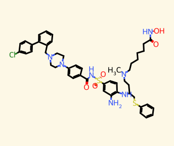 CN(CCCCCCC(=O)NO)CCC(CSc1ccccc1)Nc1ccc(S(=O)(=O)NC(=O)c2ccc(N3CCN(Cc4ccccc4-c4ccc(Cl)cc4)CC3)cc2)cc1N